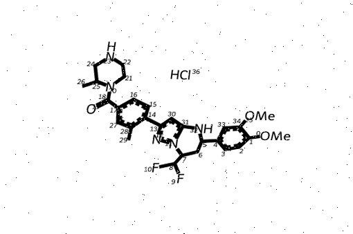 COc1ccc(C2CC(C(F)F)n3nc(-c4ccc(C(=O)N5CCNCC5C)cc4C)cc3N2)cc1OC.Cl